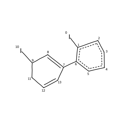 Ic1ccccc1C1=CC(I)CC=C1